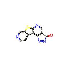 O=C1N=Nc2c1cnc1sc3cnccc3c21